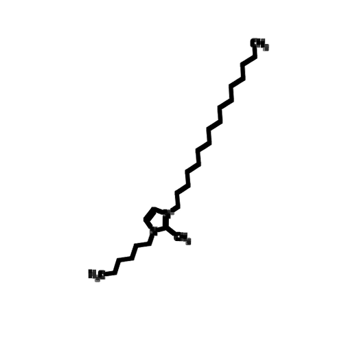 CCCCCCCCCCCCCCCC[n+]1ccn(CCCCCC)c1C